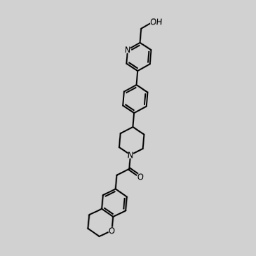 O=C(Cc1ccc2c(c1)CCCO2)N1CCC(c2ccc(-c3ccc(CO)nc3)cc2)CC1